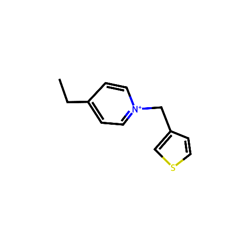 CCc1cc[n+](Cc2ccsc2)cc1